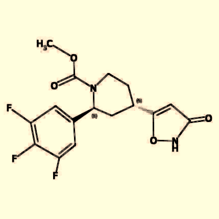 COC(=O)N1CC[C@H](c2cc(=O)[nH]o2)C[C@H]1c1cc(F)c(F)c(F)c1